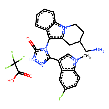 Cn1cc(-c2n[nH]c(=O)n2-c2c3n(c4ccccc24)CCC(CN)C3)c2cc(F)ccc21.O=C(O)C(F)(F)F